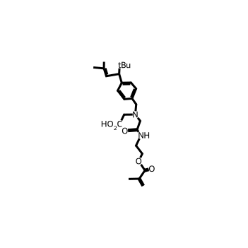 C=C(C)C(=O)OCCNC(=O)CN(CC(=O)O)Cc1ccc(C(C=C(C)C)C(C)(C)C)cc1